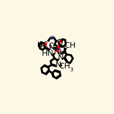 C#C/C=C\C1OC/C(=C\[C@@H]2C(C#C)C3CCCC=C3N2C2C(C3NC(C4=CCCC=C4)=NC(C4=CC=CCC4)N3)CC(C3=CCCC=C3c3ccccc3)=CN2C)C1C